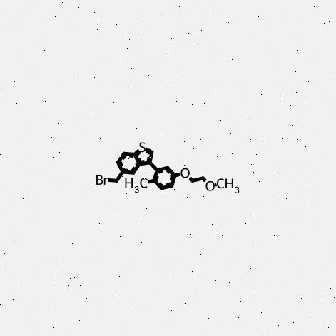 COCCOc1ccc(C)c(-c2csc3ccc(CBr)cc23)c1